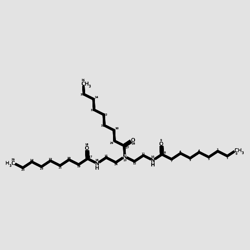 CCCCCCCCC(=O)NCCN(CCNC(=O)CCCCCCCC)C(=O)CCCCCCCC